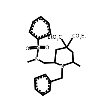 CCOC(=O)C1(C(=O)OCC)CC(C)N(Cc2ccccc2)C(CN(C)S(=O)(=O)c2ccccc2)C1